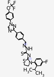 CC(C)c1cc(F)ccc1N1CCS/C1=N\C(=S)N/N=C/c1ccc(-c2ncn(-c3ccc(OC(F)(F)F)cc3)n2)cc1